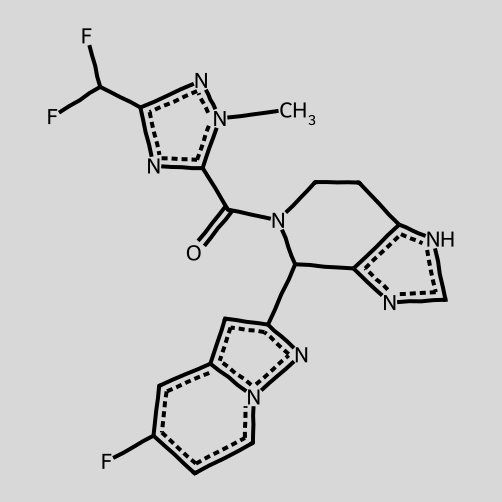 Cn1nc(C(F)F)nc1C(=O)N1CCc2[nH]cnc2C1c1cc2cc(F)ccn2n1